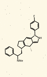 CNC(C[C@H]1CCC2=C1[C@@H](C)C1=CNN(c3ccc(F)cc3)C1=C2)c1ccccc1